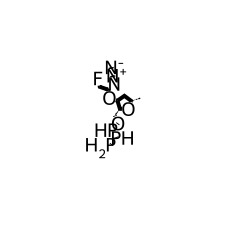 C[C@H]1CC(OC(CF)N=[N+]=[N-])[C@@H](COPPP)O1